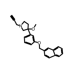 C#CCN1CCC(OC)(c2cccc(OCc3ccc4ccccc4c3)c2)C1